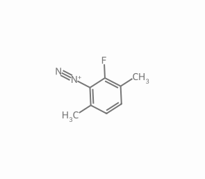 Cc1ccc(C)c([N+]#N)c1F